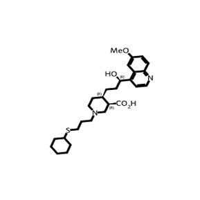 COc1ccc2nccc([C@H](O)CC[C@@H]3CCN(CCCSC4CCCCC4)C[C@@H]3C(=O)O)c2c1